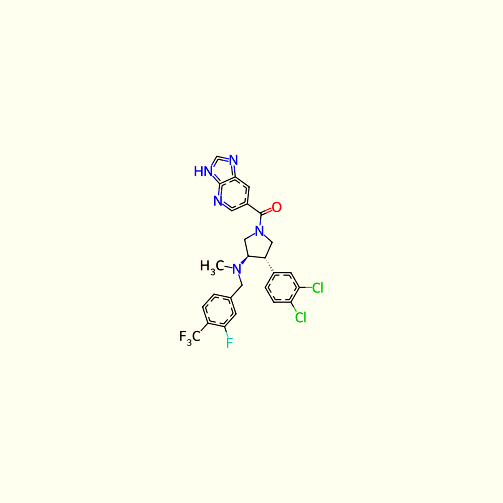 CN(Cc1ccc(C(F)(F)F)c(F)c1)[C@H]1CN(C(=O)c2cnc3[nH]cnc3c2)C[C@@H]1c1ccc(Cl)c(Cl)c1